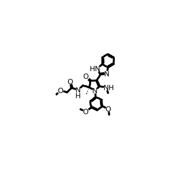 CNC1=C(c2nc3ccccc3[nH]2)C(=O)[C@](C)(CNC(=O)COC)N1c1cc(OC)cc(OC)c1